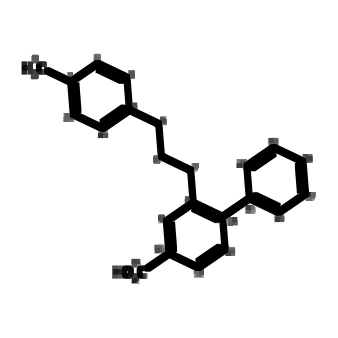 Cc1ccc(CCCc2cc(C(=O)O)ccc2-c2ccccc2)cc1